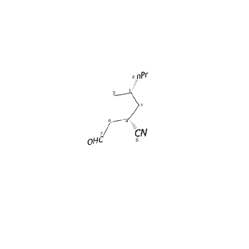 CCC[C@@H](C)C[C@H](C#N)CC=O